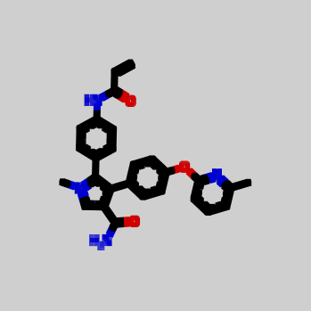 C=CC(=O)Nc1ccc(-c2c(-c3ccc(Oc4cccc(C)n4)cc3)c(C(N)=O)cn2C)cc1